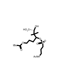 CC(=O)NCCCS(=O)(=O)OC(CCCOC(=O)C(C)(C)C)C(C)(C)[C@@H](O)C(=O)O